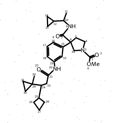 COC(=O)N1CCC(C(=O)NC(C)C2CC2)(c2cccc(NC(=O)CC(C3CCC3)C3(C)CC3)c2)C1